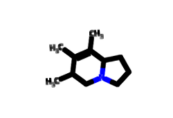 CC1=C(C)C2CCCN2CC1C